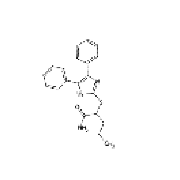 CCCC(Sc1nc(-c2ccccc2)c(-c2ccccc2)[nH]1)C(N)=O